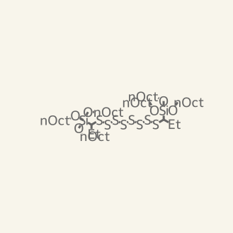 CCCCCCCCO[Si](OCCCCCCCC)(OCCCCCCCC)C(CC)SSSSSSSSC(CC)[Si](OCCCCCCCC)(OCCCCCCCC)OCCCCCCCC